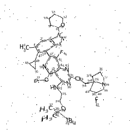 Cc1cc2c(cnn2C2CCCCO2)c(-c2nc(OC(C)C)c3c(NCCO[Si](C)(C)C(C)(C)C)nc(OC[C@@]45CCCN4C[C@H](F)C5)nc3c2F)c1C1CC1